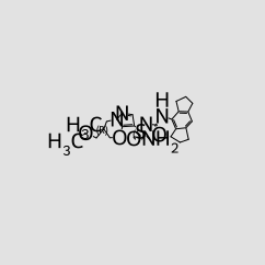 COC[C@]1(C)COc2c([S@@](N)(=O)=NC(=O)Nc3c4c(cc5c3CCC5)CCC4)cnn2C1